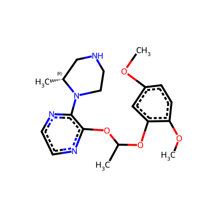 COc1ccc(OC)c(OC(C)Oc2nccnc2N2CCNC[C@H]2C)c1